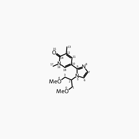 COCC(COC)n1ccnc1-c1cc(C)c(=O)n(C)c1